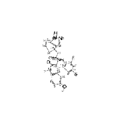 COc1ccc(N(C)C(=O)C(Cc2cc(F)cc(F)c2)NC(=O)CC2CCCc3[nH]ncc32)cc1